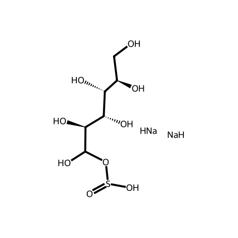 O=S(O)OC(O)[C@@H](O)[C@@H](O)[C@H](O)[C@H](O)CO.[NaH].[NaH]